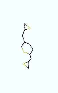 C1CC(CC2CS2)SCC1CC1CS1